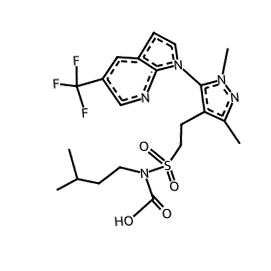 Cc1nn(C)c(-n2ccc3cc(C(F)(F)F)cnc32)c1CCS(=O)(=O)N(CCC(C)C)C(=O)O